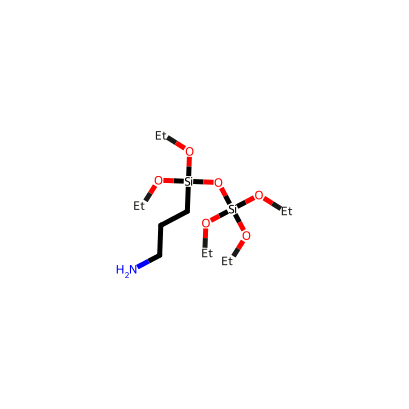 CCO[Si](CCCN)(OCC)O[Si](OCC)(OCC)OCC